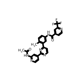 CC(=O)Nc1cc(-c2nccc(-c3cc(NC(=O)c4ccnc(C(F)(F)F)c4)ccc3C)n2)ccn1